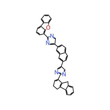 C1=C(c2ncc(-c3ccc4ccc(-c5cnc(-c6cccc7c6oc6ccccc67)nc5)cc4c3)cn2)C2=C(CC1)c1ccccc1C2